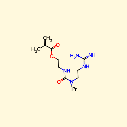 C=C(C)C(=O)OCCNC(=O)N(CCNC(=N)N)C(C)C